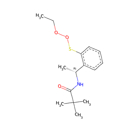 CCOOSc1ccccc1[C@@H](C)NC(=O)C(C)(C)C